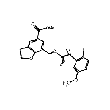 COC(=O)c1cc2c(c(COC(=O)Nc3cc(OC(F)(F)F)ccc3F)c1)OCC2